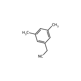 Cc1cc(C)cc(CC#N)c1